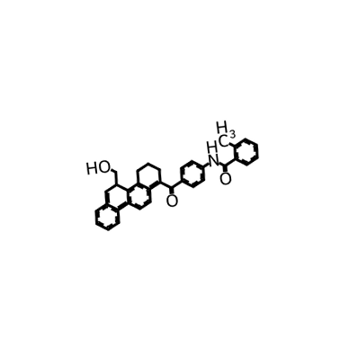 Cc1ccccc1C(=O)Nc1ccc(C(=O)C2=c3ccc4c(c3CCC2)C(CO)C=c2ccccc2=4)cc1